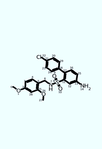 COc1ccc(CNS(=O)(=O)c2cc(N)ccc2-c2ccc(Cl)cc2)c(OC)c1